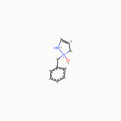 [O-][N+]1(Cc2ccccc2)CC=CN1